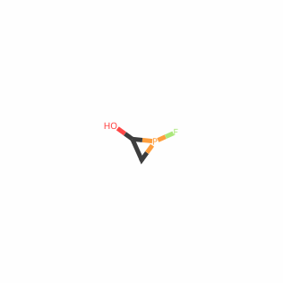 OC1CP1F